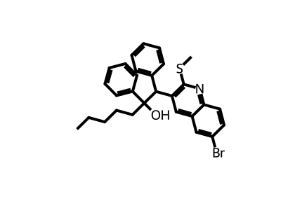 CCCCCC(O)(c1ccccc1)C(c1ccccc1)c1cc2cc(Br)ccc2nc1SC